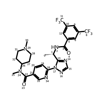 C[C@H](NC(=O)c1cc(C(F)(F)F)cc(C(F)(F)F)c1)c1ncnn1-c1ccc(C(=O)N(C)C2CCN(C)CC2)cn1